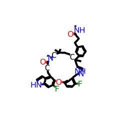 CNC(=O)CCc1cccc(C2(C)CCCC(C)(C)CN(C)C(=O)CCc3c(c(F)cc4[nH]ccc34)Oc3ccc(F)c(c3)-c3ncc2[nH]3)c1